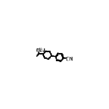 CCCCC(C)C1CCC(c2ccc(C#N)cc2)CC1